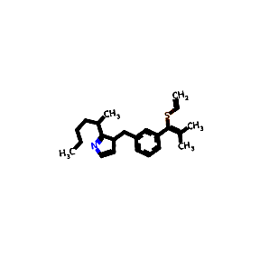 C=CSC(=C(C)C)c1cccc(CC2C=CN=C2C(C)CCCC)c1